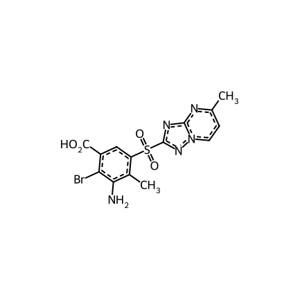 Cc1ccn2nc(S(=O)(=O)c3cc(C(=O)O)c(Br)c(N)c3C)nc2n1